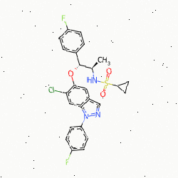 C[C@@H](NS(=O)(=O)C1CC1)[C@H](Oc1cc2cnn(-c3ccc(F)cc3)c2cc1Cl)c1ccc(F)cc1